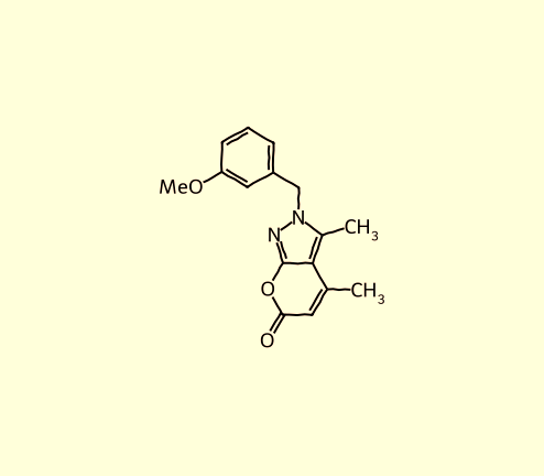 COc1cccc(Cn2nc3oc(=O)cc(C)c3c2C)c1